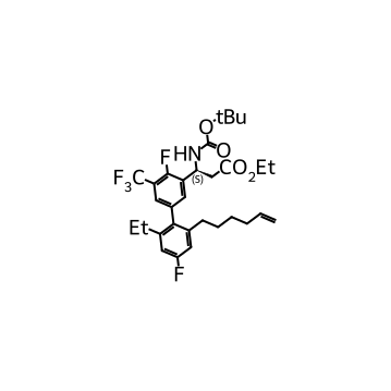 C=CCCCCc1cc(F)cc(CC)c1-c1cc([C@H](CC(=O)OCC)NC(=O)OC(C)(C)C)c(F)c(C(F)(F)F)c1